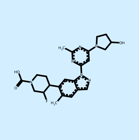 Cc1nc(N2CCC(O)C2)cc(-n2ncc3cc(C)c(C4CCN(C(=O)O)CC4F)cc32)n1